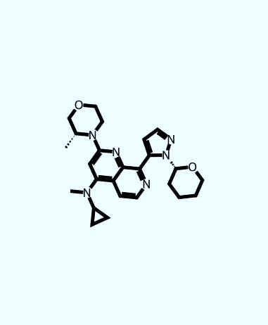 C[C@@H]1COCCN1c1cc(N(C)C2CC2)c2ccnc(-c3ccnn3[C@H]3CCCCO3)c2n1